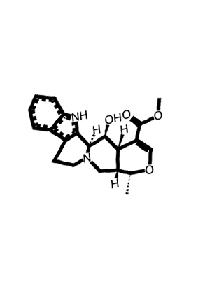 COC(=O)C1=CO[C@H](C)[C@@H]2CN3CCc4c([nH]c5ccccc45)[C@H]3[C@@H](O)[C@H]12